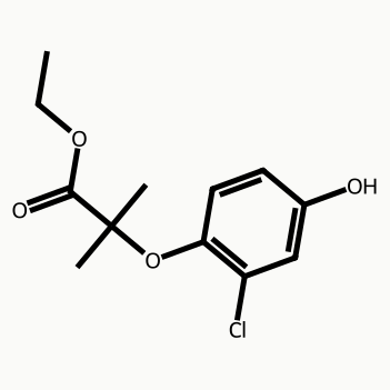 CCOC(=O)C(C)(C)Oc1ccc(O)cc1Cl